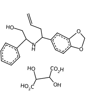 C=CCC(NC(CO)c1ccccc1)c1ccc2c(c1)OCO2.O=C(O)C(O)C(O)C(=O)O